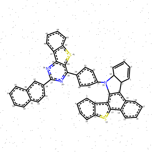 C1=CC2c3c(c4c5ccccc5sc4c4ccccc34)N(c3ccc(-c4nc(-c5ccc6ccccc6c5)nc5c4sc4ccccc45)cc3)C2C=C1